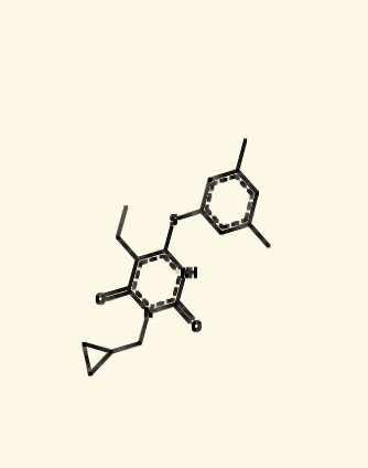 CCc1c(Sc2cc(C)cc(C)c2)[nH]c(=O)n(CC2CC2)c1=O